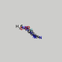 CC(=O)NC[C@H]1CN(c2ccc(N3CCC(n4cc(/C=C/C#N)nn4)CC3)c(F)c2)C(=O)O1